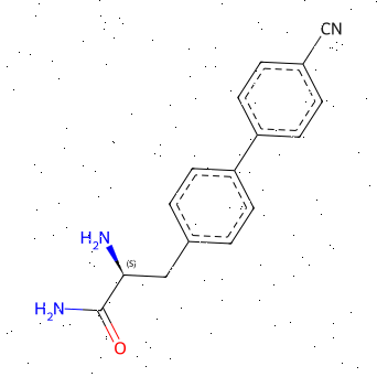 N#Cc1ccc(-c2ccc(C[C@H](N)C(N)=O)cc2)cc1